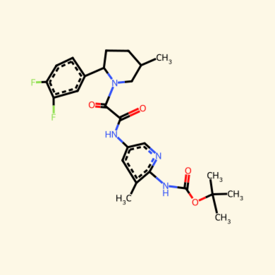 Cc1cc(NC(=O)C(=O)N2CC(C)CCC2c2ccc(F)c(F)c2)cnc1NC(=O)OC(C)(C)C